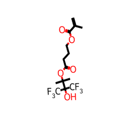 C=C(C)C(=O)OCCCC(=O)OC(C)(C)C(O)(C(F)(F)F)C(F)(F)F